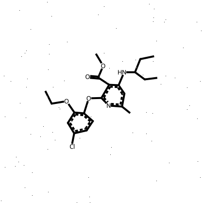 CCOc1cc(Cl)ccc1Oc1nc(C)cc(NC(CC)CC)c1C(=O)OC